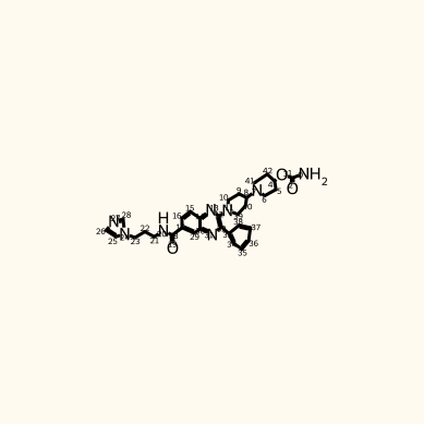 NC(=O)OC1CCN(C2CCN(c3nc4ccc(C(=O)NCCCn5ccnc5)cc4nc3-c3ccccc3)CC2)CC1